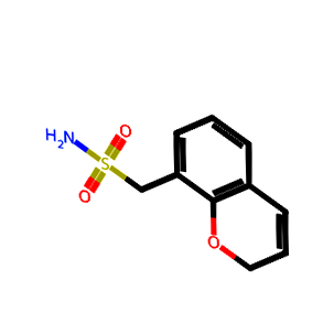 NS(=O)(=O)Cc1cccc2c1OCC=C2